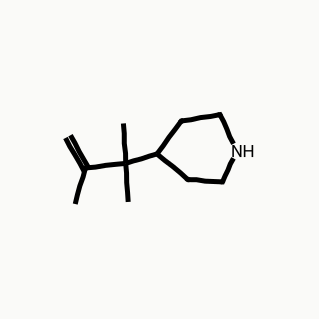 C=C(C)C(C)(C)C1CCNCC1